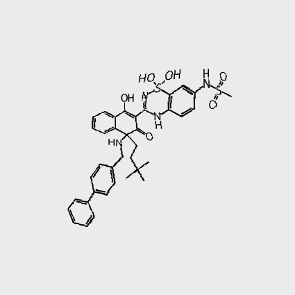 CC(C)(C)CCC1(NCc2ccc(-c3ccccc3)cc2)C(=O)C(C2=NS(O)(O)c3cc(NS(C)(=O)=O)ccc3N2)=C(O)c2ccccc21